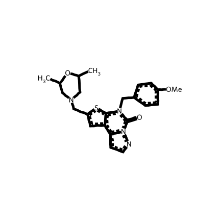 COc1ccc(Cn2c(=O)n3nccc3c3cc(CN4CC(C)OC(C)C4)sc32)cc1